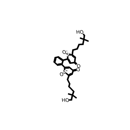 CC(C)(CO)CCCCc1cc(=O)cc(-c2ccccc2-c2cc(=O)cc(CCCCC(C)(C)CO)[s+]2[O-])[s+]1[O-]